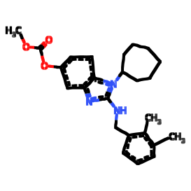 COC(=O)Oc1ccc2c(c1)nc(NCc1cccc(C)c1C)n2C1CCCCCC1